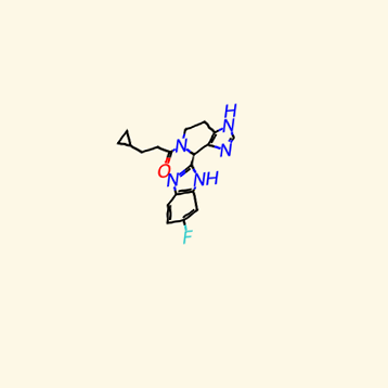 O=C(CCC1CC1)N1CCc2[nH]cnc2[C@H]1c1nc2ccc(F)cc2[nH]1